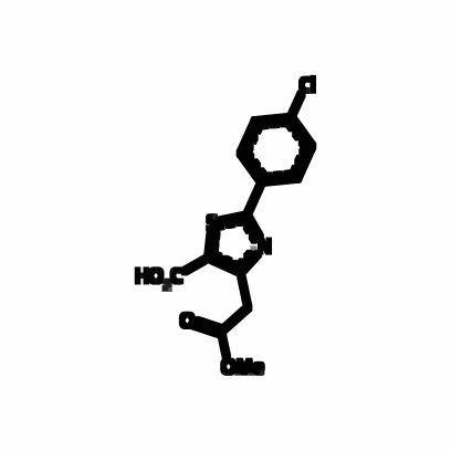 COC(=O)Cc1nc(-c2ccc(Cl)cc2)sc1C(=O)O